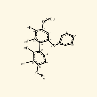 CCCCOc1cc(Sc2ccccc2)c(-c2ccc(OCC)c(F)c2F)c(F)c1F